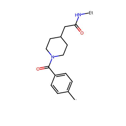 [CH2]c1ccc(C(=O)N2CCC(CC(=O)NCC)CC2)cc1